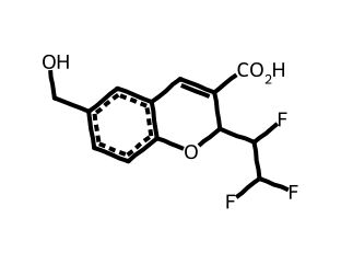 O=C(O)C1=Cc2cc(CO)ccc2OC1C(F)C(F)F